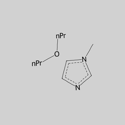 CCCOCCC.Cn1ccnc1